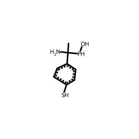 CC(N)(PO)c1ccc(S)cc1